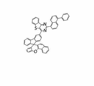 c1ccc(-c2cccc3c(-c4nc(-c5ccc6c(c5)-c5ccccc5C65c6ccccc6Oc6c5ccc5ccccc65)c5sc6ccccc6c5n4)cccc23)cc1